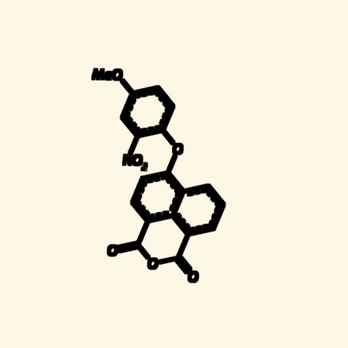 COc1ccc(Oc2ccc3c4c(cccc24)C(=O)OC3=O)c([N+](=O)[O-])c1